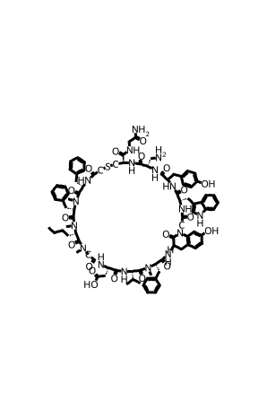 CCCC[C@H]1C(=O)N(C)CC(=O)N[C@@H](CC(=O)O)C(=O)N[C@@H](C(C)C)C(=O)N(C)[C@@H](Cc2ccccc2)C(=O)N[C@H]2Cc3ccc(O)cc3N(CC(=O)N[C@@H](Cc3c[nH]c4ccccc34)C(=O)NC(Cc3ccc(O)cc3)C(=O)N[C@@H](CN)C(=O)N[C@H](C(=O)NCC(N)=O)CSCC(=O)N[C@@H](Cc3ccccc3)C(=O)N(C)[C@@H](Cc3ccccc3)C(=O)N1C)C2=O